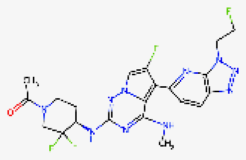 CNc1nc(N[C@@H]2CCN(C(C)=O)CC2(F)F)nn2cc(F)c(-c3ccc4nnn(CCF)c4n3)c12